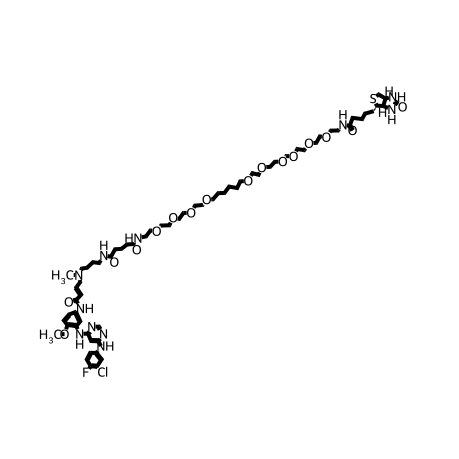 COc1ccc(NC(=O)/C=C/CN(C)CCCCNC(=O)CCCC(=O)NCCOCCOCCOCCOCCCCCCOCCOCCOCOCCOCCOCCNC(=O)CCCC[C@@H]2SC[C@@H]3NC(=O)N[C@@H]32)cc1Nc1cc(Nc2ccc(F)c(Cl)c2)ncn1